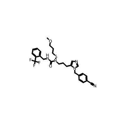 COCCCSN(CCCc1cncn1Cc1ccc(C#N)cc1)C(=O)NCc1ccccc1C(F)(F)F